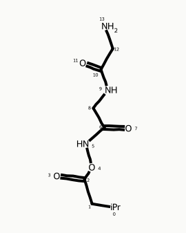 CC(C)CC(=O)ONC(=O)CNC(=O)CN